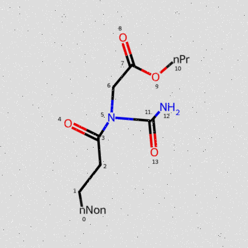 CCCCCCCCCCCC(=O)N(CC(=O)OCCC)C(N)=O